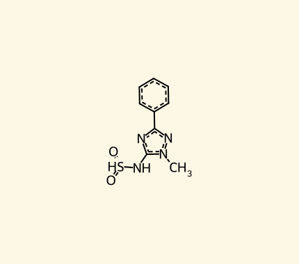 Cn1nc(-c2ccccc2)nc1N[SH](=O)=O